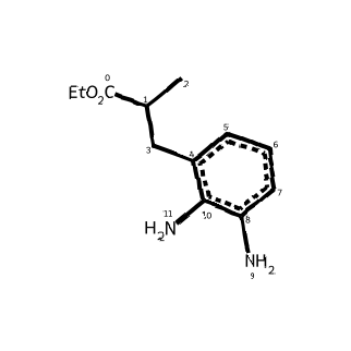 CCOC(=O)C(C)Cc1cccc(N)c1N